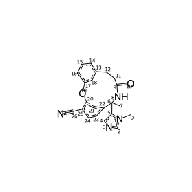 Cn1cncc1C1(C)NC(=O)CCc2cccc(c2)Oc2cc1ccc2C#N